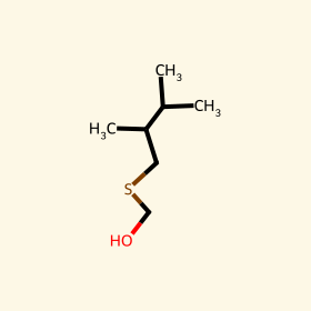 CC(C)C(C)CSCO